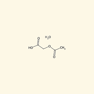 CC(=O)OCC(=O)O.O